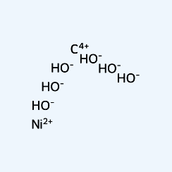 [C+4].[Ni+2].[OH-].[OH-].[OH-].[OH-].[OH-].[OH-]